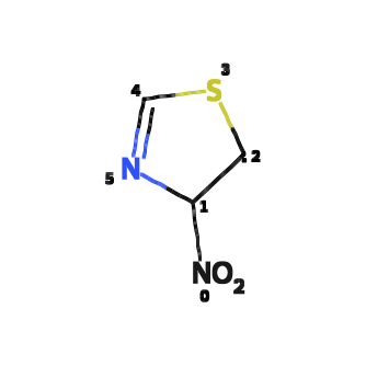 O=[N+]([O-])C1[CH]SC=N1